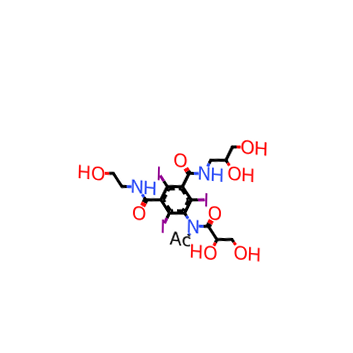 CC(=O)N(C(=O)C(O)CO)c1c(I)c(C(=O)NCCO)c(I)c(C(=O)NCC(O)CO)c1I